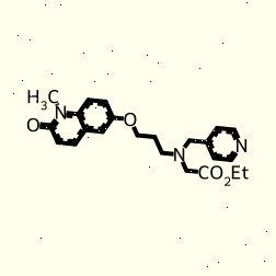 CCOC(=O)CN(CCCOc1ccc2c(ccc(=O)n2C)c1)Cc1ccncc1